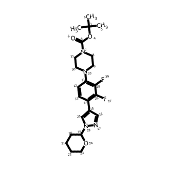 CC(C)(C)OC(=O)N1CCN(c2ccc(-c3cnn(C4CCCCO4)c3)c(F)c2F)CC1